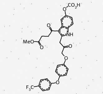 COC(=O)CCC(=O)c1c(CC(=O)COc2ccc(Oc3ccc(C(F)(F)F)cc3)cc2)[nH]c2ccc(OC(=O)O)cc12